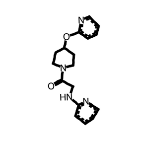 O=C(CNc1ccccn1)N1CCC(Oc2ccccn2)CC1